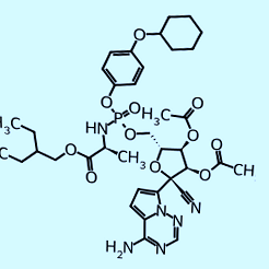 CCC(CC)COC(=O)[C@H](C)NP(=O)(OC[C@H]1O[C@@](C#N)(c2ccc3c(N)ncnn23)[C@H](OC(C)=O)[C@@H]1OC(C)=O)Oc1ccc(OC2CCCCC2)cc1